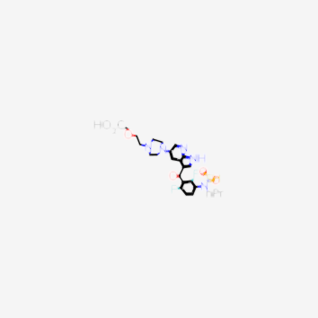 CCCN(c1ccc(F)c(C(=O)c2c[nH]c3ncc(N4CCN(CCOCC(=O)O)CC4)cc23)c1F)[SH](=O)=O